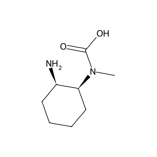 CN(C(=O)O)[C@H]1CCCC[C@H]1N